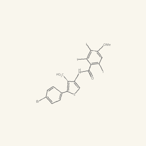 COc1cc(I)c(C(=O)Nc2csc(-c3ccc(Br)cc3)c2C(=O)O)c(I)c1I